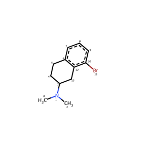 CN(C)C1CCc2cccc(Br)c2C1